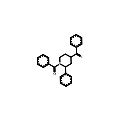 O=C(c1ccccc1)C1CCN(C(=O)c2ccccc2)C(c2ccccc2)C1